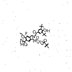 CCOc1c(C(=O)NC)cc2c(c1F)CN(CC(=O)c1cc(C(C)(C)C)c(O)c(C(C)(C)C)c1)C2=NC(=O)OCOC(=O)C(C)(C)C